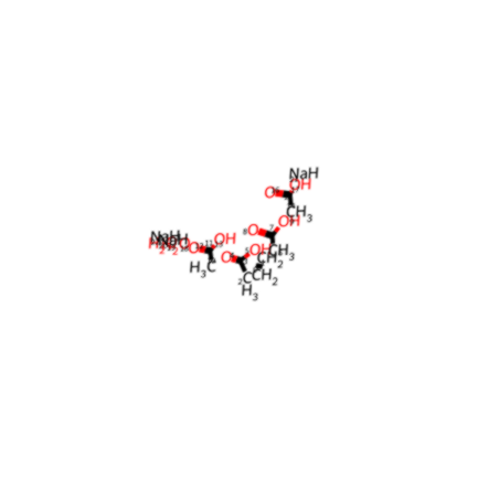 C=C.CC(=O)O.CC(=O)O.CC(=O)O.CC(=O)O.O.O.[NaH].[NaH].[NaH]